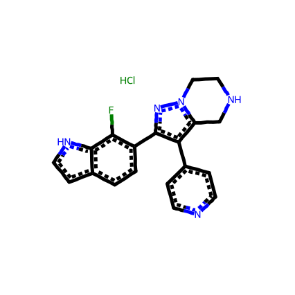 Cl.Fc1c(-c2nn3c(c2-c2ccncc2)CNCC3)ccc2cc[nH]c12